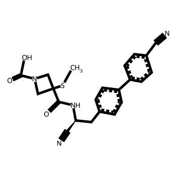 CSC1(C(=O)N[C@H](C#N)Cc2ccc(-c3ccc(C#N)cc3)cc2)CN(C(=O)O)C1